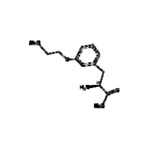 COCCOc1cccc(C[C@H](N)C(=O)OC)c1